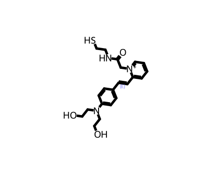 O=C(C[n+]1ccccc1/C=C/c1ccc(N(CCO)CCO)cc1)NCCS